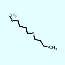 CCCCSCCCCSC